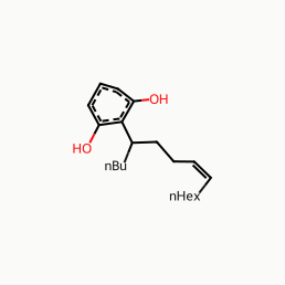 CCCCCC/C=C\CCC(CCCC)c1c(O)cccc1O